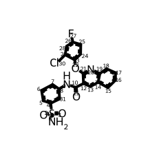 NS(=O)(=O)c1cccc(NC(=O)c2cc3ccccc3nc2Oc2ccc(F)cc2Cl)c1